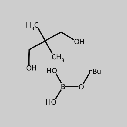 CC(C)(CO)CO.CCCCOB(O)O